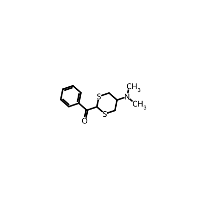 CN(C)C1CSC(C(=O)c2ccccc2)SC1